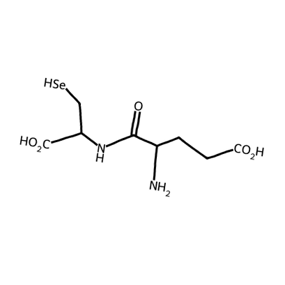 NC(CCC(=O)O)C(=O)NC(C[SeH])C(=O)O